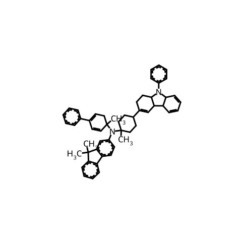 CC1(C)c2ccccc2-c2ccc(N(C3(C)C=CC(c4ccccc4)=CC3)C3(C)CCC(C4=CC5C6C=CC=CC6N(c6ccccc6)C5CC4)CC3)cc21